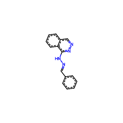 C(=NNc1nncc2ccccc12)c1ccccc1